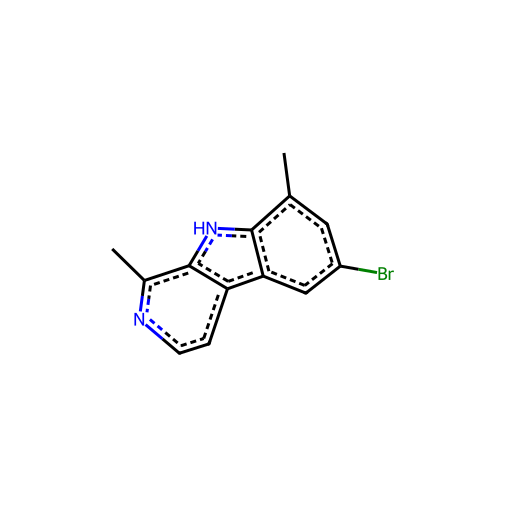 Cc1cc(Br)cc2c1[nH]c1c(C)nccc12